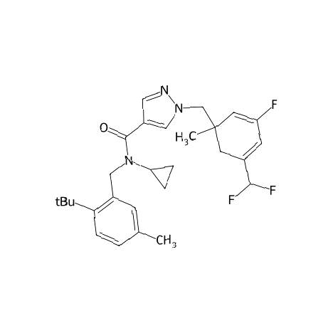 Cc1ccc(C(C)(C)C)c(CN(C(=O)c2cnn(CC3(C)C=C(F)C=C(C(F)F)C3)c2)C2CC2)c1